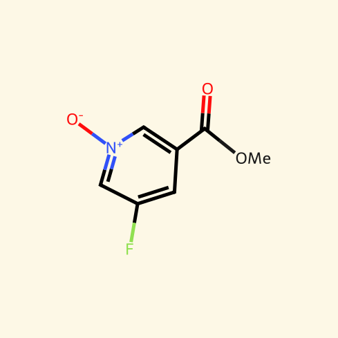 COC(=O)c1cc(F)c[n+]([O-])c1